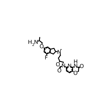 CC(N)COc1cc(F)c2c(c1)CC(N(C)CCC1CN(c3ccc4c(n3)NC(=O)CO4)C(=O)O1)C2